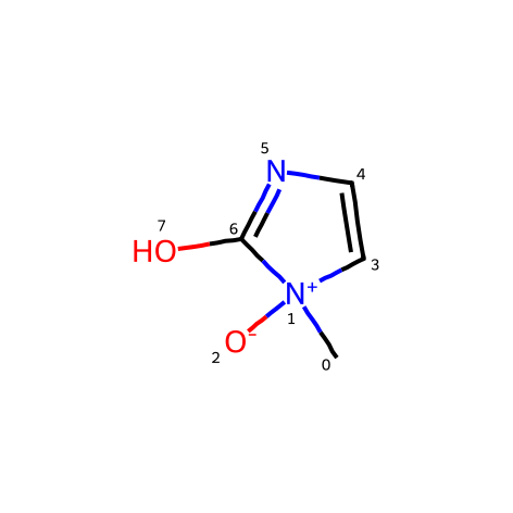 C[N+]1([O-])C=CN=C1O